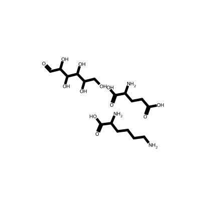 NC(CCC(=O)O)C(=O)O.NCCCCC(N)C(=O)O.O=CC(O)C(O)C(O)C(O)CO